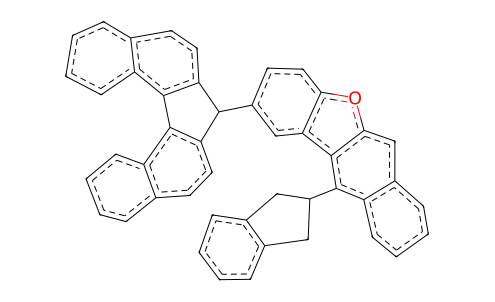 c1ccc2c(c1)CC(c1c3ccccc3cc3oc4ccc(C5c6ccc7ccccc7c6-c6c5ccc5ccccc65)cc4c13)C2